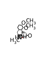 CCOc1ccc2c(c1OC)[C@]13CCN(C)[C@H](C2)[C@]1(O)CCC(=O)C3